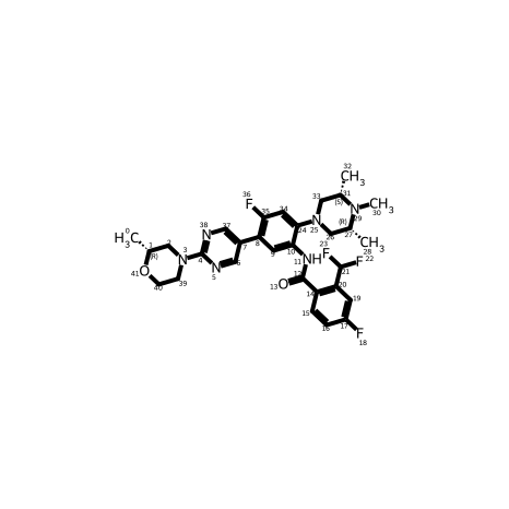 C[C@@H]1CN(c2ncc(-c3cc(NC(=O)c4ccc(F)cc4C(F)F)c(N4C[C@@H](C)N(C)[C@@H](C)C4)cc3F)cn2)CCO1